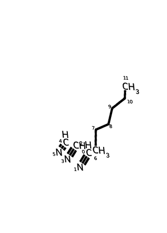 C#N.C#N.C#N.CCCCCC